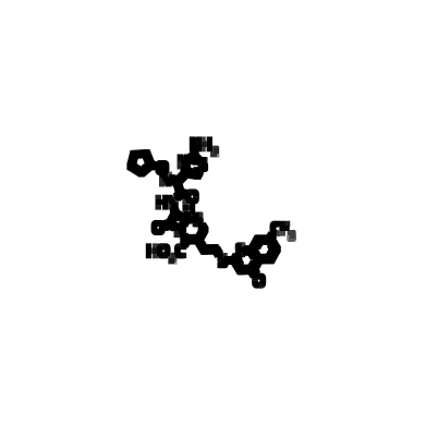 Nc1nc(C(=NOC2CCCC2)C(=O)NC2C(=O)N3C(C(=O)O)=C(C=CSc4cc(=O)c5ccc(C(F)(F)F)cc5s4)CS[C@@H]23)cs1